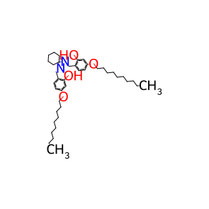 CCCCCCCCCCOc1ccc(C=NC2(N=Cc3ccc(OCCCCCCCCCC)cc3O)CCCCC2)c(O)c1